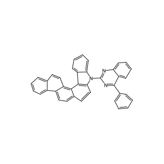 c1ccc(-c2nc(-n3c4ccccc4c4c5c(ccc6c7ccccc7ccc65)ccc43)nc3ccccc23)cc1